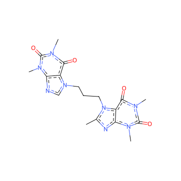 Cc1nc2c(c(=O)n(C)c(=O)n2C)n1CCCn1cnc2c1c(=O)n(C)c(=O)n2C